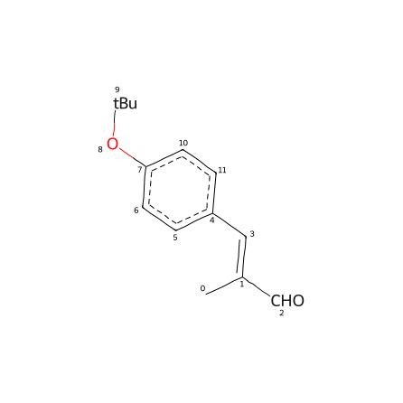 C/C(C=O)=C\c1ccc(OC(C)(C)C)cc1